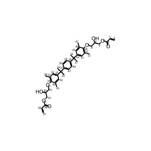 C=CC(=O)OCC(O)COc1c(C)cc(C(C)(C)c2ccc(C(C)(C)c3cc(C)c(OCC(O)COC(=O)C=C)c(C)c3)cc2)cc1C